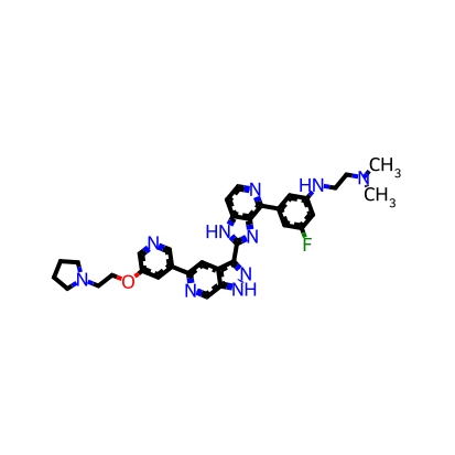 CN(C)CCNc1cc(F)cc(-c2nccc3[nH]c(-c4n[nH]c5cnc(-c6cncc(OCCN7CCCC7)c6)cc45)nc23)c1